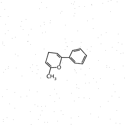 CC1=CCC=C(c2ccccc2)O1